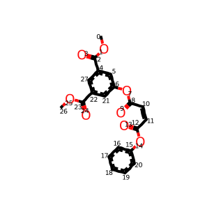 COC(=O)c1cc(OC(=O)/C=C\C(=O)Oc2ccccc2)cc(C(=O)OC)c1